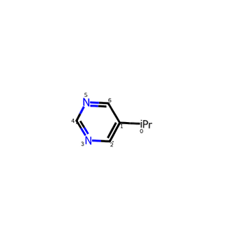 CC(C)c1[c]n[c]nc1